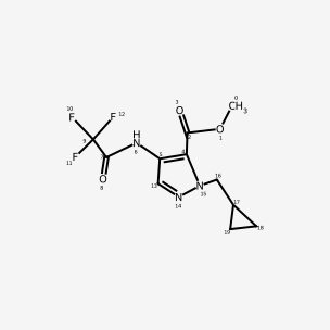 COC(=O)c1c(NC(=O)C(F)(F)F)cnn1CC1CC1